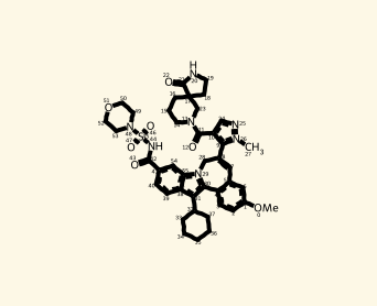 COc1ccc2c(c1)C=C(c1c(C(=O)N3CCCC4(CCNC4=O)C3)cnn1C)Cn1c-2c(C2CCCCC2)c2ccc(C(=O)NS(=O)(=O)N3CCOCC3)cc21